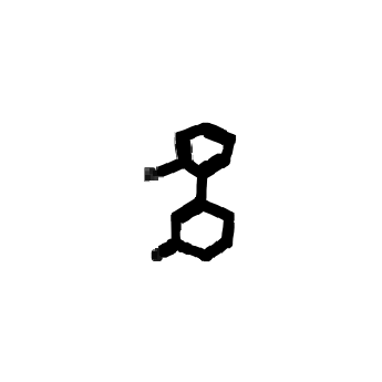 O=C1C=C(c2ccccc2Br)CCC1